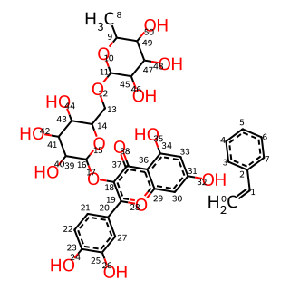 C=Cc1ccccc1.CC1OC(OCC2OC(Oc3c(-c4ccc(O)c(O)c4)oc4cc(O)cc(O)c4c3=O)C(O)C(O)C2O)C(O)C(O)C1O